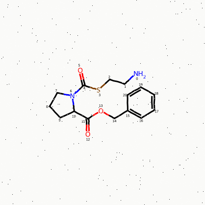 NCCSC(=O)N1CCCC1C(=O)OCc1ccccc1